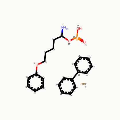 Br.NC(CCCCOc1ccccc1)O[PH](=O)O.c1ccc(-c2ccccc2)cc1